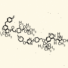 Cc1n[nH]c(Nc2ncnc3cc(OCC4CCN(c5ncc(OC6CCN(C[C@H]7CN(C(=O)OC(C)(C)C)[C@H](C)CN7CC(=O)N7CC(C)(C)c8ncc(Cc9ccc(F)cc9)cc87)CC6)cn5)CC4)c(S(=O)(=O)C(C)(C)C)cc23)c1C